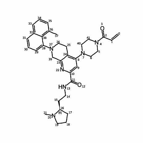 C=CC(=O)N1CCN(c2cc(C(=O)NCC[C@H]3CCCN3C)nc3c2CCN(c2cccc4cccc(C)c24)C3)CC1